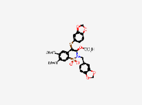 COc1cc2c(cc1OC)S(=O)(=O)N(Cc1ccc3c(c1)OCO3)C(OC(=O)O)=C2Sc1ccc2c(c1)OCO2